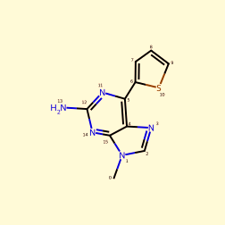 Cn1cnc2c(-c3cccs3)nc(N)nc21